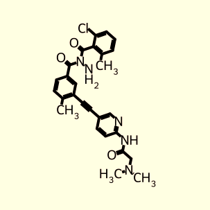 Cc1ccc(C(=O)N(N)C(=O)c2c(C)cccc2Cl)cc1C#Cc1ccc(NC(=O)CN(C)C)nc1